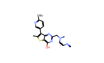 C=N/C=C\N(C)Cc1nc(O)c2sc(C)c(-c3ccc(OCC(C)C)nc3)c2n1